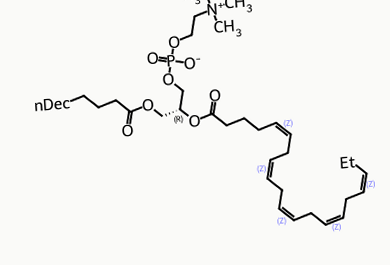 CC/C=C\C/C=C\C/C=C\C/C=C\C/C=C\CCCC(=O)O[C@H](COC(=O)CCCCCCCCCCCCC)COP(=O)([O-])OCC[N+](C)(C)C